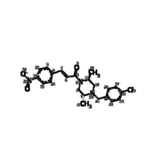 C[C@@H]1CN(C(=O)C=Cc2ccc([N+](=O)[O-])cc2)[C@@H](C)CN1Cc1ccc(Cl)cc1